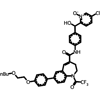 CCCCOCCOc1ccc(-c2ccc3c(c2)C=C(C(=O)Nc2ccc(C(O)c4ccc(Cl)c[n+]4[O-])cc2)CCN3C(=O)C(F)(F)F)cc1